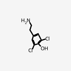 NCCc1cc(Cl)c(O)c(Cl)c1